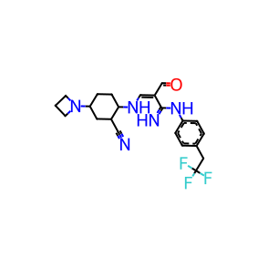 N#CC1CC(N2CCC2)CCC1N/C=C(/C=O)C(=N)Nc1ccc(CC(F)(F)F)cc1